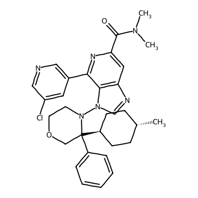 CN(C)C(=O)c1cc2ncn(N3CCOCC3(c3ccccc3)[C@H]3CC[C@H](C)CC3)c2c(-c2cncc(Cl)c2)n1